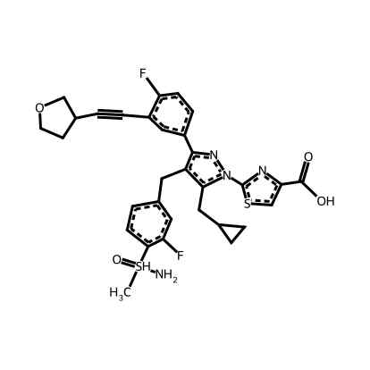 C[SH](N)(=O)c1ccc(Cc2c(-c3ccc(F)c(C#CC4CCOC4)c3)nn(-c3nc(C(=O)O)cs3)c2CC2CC2)cc1F